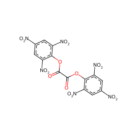 O=C(Oc1c([N+](=O)[O-])cc([N+](=O)[O-])cc1[N+](=O)[O-])C(=O)Oc1c([N+](=O)[O-])cc([N+](=O)[O-])cc1[N+](=O)[O-]